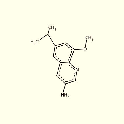 COc1cc(C(C)C)cc2cc(N)cnc12